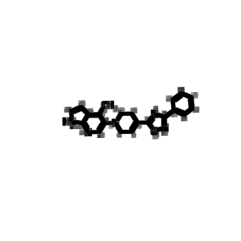 Cc1c(N2CC=C(c3nc(-c4ccccc4)no3)CC2)cnc2[nH]ccc12